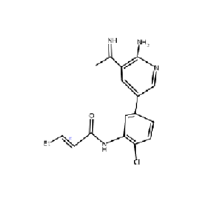 CC/C=C/C(=O)Nc1cc(-c2cnc(N)c(C(C)=N)c2)ccc1Cl